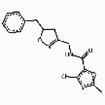 Cc1nc(C(=O)NCC2=NOC(Cc3ccccc3)C2)c(Cl)s1